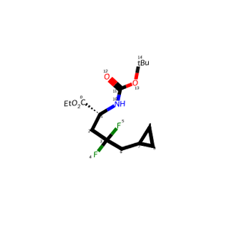 CCOC(=O)[C@@H](CC(F)(F)CC1CC1)NC(=O)OC(C)(C)C